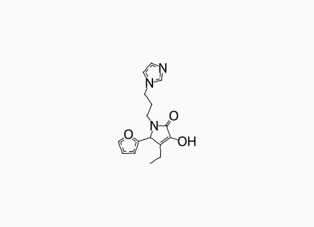 CCC1=C(O)C(=O)N(CCCn2ccnc2)C1c1ccco1